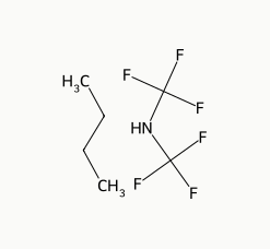 CCCC.FC(F)(F)NC(F)(F)F